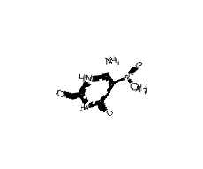 N.O=c1[nH]cc([N+](=O)O)c(=O)[nH]1